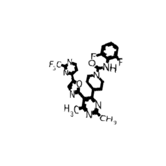 Cc1nc(C)c(-c2ncc(-c3ccnc(C(F)(F)F)n3)o2)c(C2CCN(C(=O)Nc3c(F)cccc3F)CC2)n1